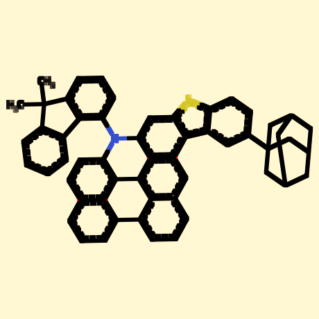 CC1(C)c2ccccc2-c2c(N(c3ccc4c(c3)sc3ccc(C56CC7CC(CC(C7)C5)C6)cc34)c3ccccc3-c3cccc4cccc(-c5ccccc5)c34)cccc21